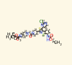 C=CCOC(=O)Nc1cccc(-c2nc(C3CCN(C(=O)CN4CCC5(CC4)CN(C(=O)OC(C)(C)C)C5)CC3)sc2-c2ccnc(Cl)n2)c1F